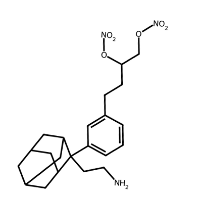 NCCC1(c2cccc(CCC(CO[N+](=O)[O-])O[N+](=O)[O-])c2)C2CC3CC(C2)CC1C3